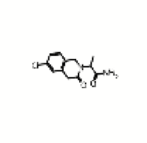 CC(C(N)=O)N1Cc2ccc(Cl)cc2CC1=O